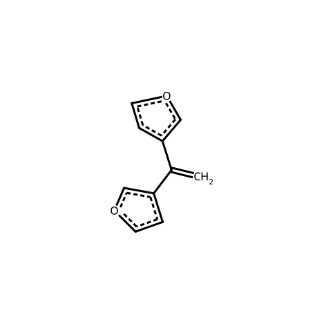 C=C(c1ccoc1)c1ccoc1